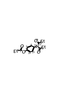 CCC(=O)Oc1ccc(N(C(=O)CC)C(=O)CC)cc1